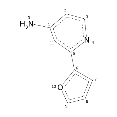 Nc1ccnc(-c2ccco2)c1